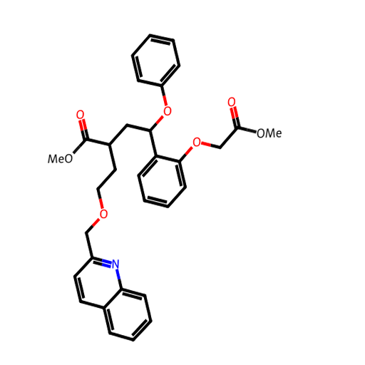 COC(=O)COc1ccccc1C(CC(CCOCc1ccc2ccccc2n1)C(=O)OC)Oc1ccccc1